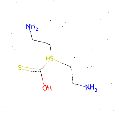 NCC[SH](CCN)C(O)=S